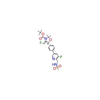 CC(C)(C)OC(=O)N1[C@H](CF)[C@@H](c2ccc(-c3cnc(CNS(C)(=O)=O)c(F)c3)cc2)OC1(C)C